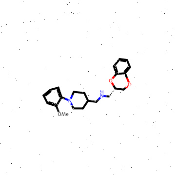 COc1ccccc1N1CCC(CNC[C@H]2COc3ccccc3O2)CC1